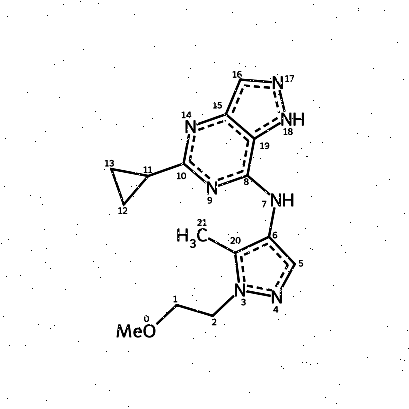 COCCn1ncc(Nc2nc(C3CC3)nc3cn[nH]c23)c1C